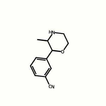 CC1NCCOC1c1cccc(C#N)c1